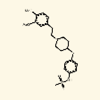 COc1ccc(CCN2CCC(Sc3ccc(NS(C)(=O)=O)cc3)CC2)cc1OC